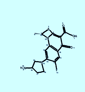 C[C@@H]1Sc2c(C(=O)O)c(=O)c3cc(F)c(N4CCC(N)C4)cc3n21